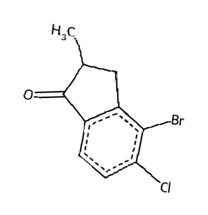 CC1Cc2c(ccc(Cl)c2Br)C1=O